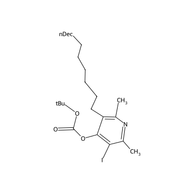 CCCCCCCCCCCCCCCCc1c(C)nc(C)c(I)c1OC(=O)OC(C)(C)C